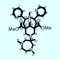 COC(=O)C12CC(c3ccccn3)N(C)C(c3ccccn3)CC(C(=O)OC)(CN(C3(C)CN(C)CCN(C)C3)C1)C2=O